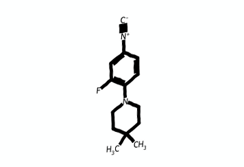 [C-]#[N+]c1ccc(N2CCC(C)(C)CC2)c(F)c1